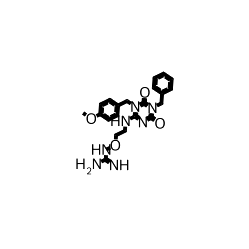 COc1ccc(Cn2c(NCCONC(=N)N)nc(=O)n(Cc3ccccc3)c2=O)cc1